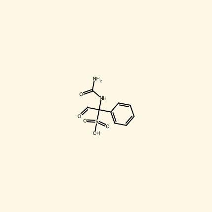 NC(=O)NC([C]=O)(c1ccccc1)S(=O)(=O)O